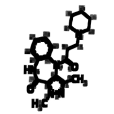 Cc1nn(C)c2c1N(C(=O)CCN1CCCCC1)c1ccccc1NC2=O